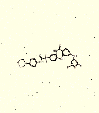 CC(C)(C(=O)Nc1ccc(N2CCOCC2)cc1)c1ccc2c(c1)NC(=O)c1ccc(Nc3cc(F)nc(F)c3)cc1N2